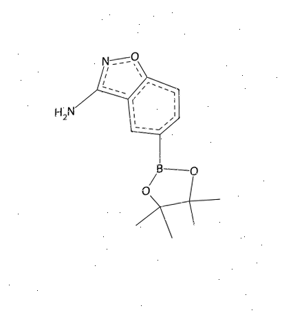 CC1(C)OB(c2ccc3onc(N)c3c2)OC1(C)C